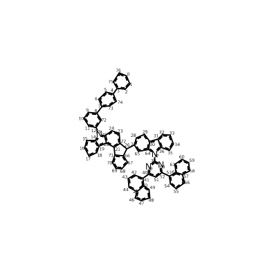 c1ccc(-c2ccc(-c3cccc(-n4c5ccccc5c5c6c(ccc54)C(c4ccc5c7ccccc7n(-c7nc(-c8cccc9ccccc89)cc(-c8cccc9ccccc89)n7)c5c4)c4ccccc4-6)c3)cc2)cc1